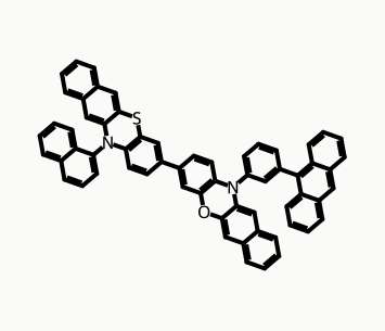 c1cc(-c2c3ccccc3cc3ccccc23)cc(N2c3ccc(-c4ccc5c(c4)Sc4cc6ccccc6cc4N5c4cccc5ccccc45)cc3Oc3cc4ccccc4cc32)c1